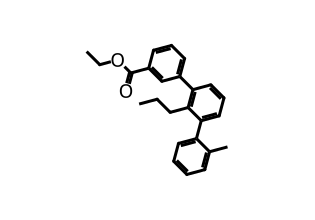 CCCc1c(-c2cccc(C(=O)OCC)c2)cccc1-c1ccccc1C